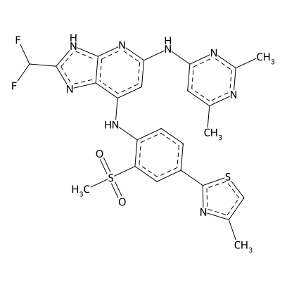 Cc1cc(Nc2cc(Nc3ccc(-c4nc(C)cs4)cc3S(C)(=O)=O)c3nc(C(F)F)[nH]c3n2)nc(C)n1